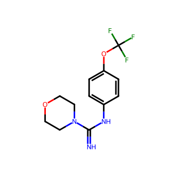 N=C(Nc1ccc(OC(F)(F)F)cc1)N1CCOCC1